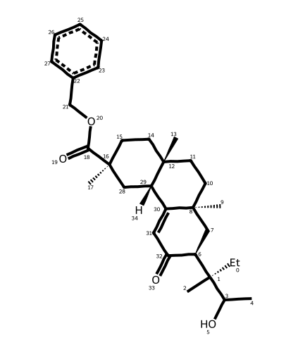 CC[C@@](C)(C(C)O)[C@@H]1C[C@]2(C)CC[C@@]3(C)CC[C@](C)(C(=O)OCc4ccccc4)C[C@H]3C2=CC1=O